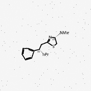 CCC[C@@H](CC1=N[C@H](NC)CS1)c1ccccc1